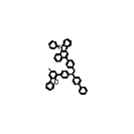 C[C@@H]1C=c2c(oc3ccccc23)=C(c2ccc(C(Cc3ccc(-c4cc5c6ccccc6n(-c6ccccc6)c5c5ccccc45)cc3)c3ccc(-c4ccccc4)cc3)cc2)C1